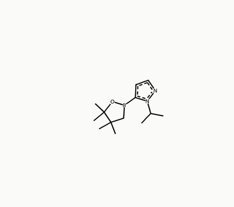 CC(C)n1nccc1B1CC(C)(C)C(C)(C)O1